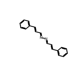 C(=Cc1ccccc1)C=NN=CC=Cc1ccccc1